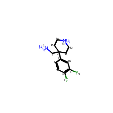 NCC1(c2ccc(F)c(F)c2)CCNCC1